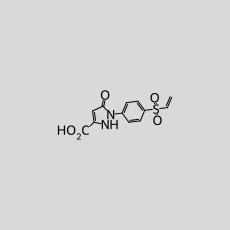 C=CS(=O)(=O)c1ccc(-n2[nH]c(C(=O)O)cc2=O)cc1